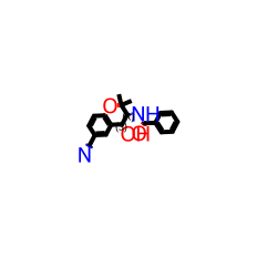 CC1(C)Oc2ccc(C#N)cc2[C@H](O)[C@H]1NC(=O)c1ccccc1